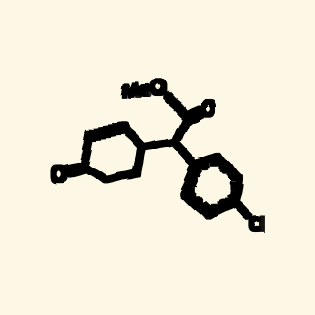 COC(=O)C(c1ccc(Cl)cc1)C1C=CC(=O)CC1